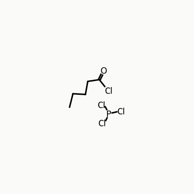 CCCCC(=O)Cl.ClP(Cl)Cl